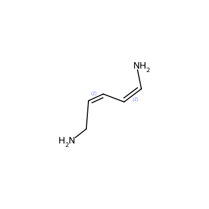 N/C=C\C=C/CN